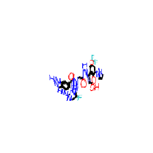 O=C(O)/C=C(/NC(=O)CNC(=O)c1cc(NC2=NCC(F)CN2)c2cn[nH]c2c1)c1cc(OC(F)F)cc(-n2cccn2)c1